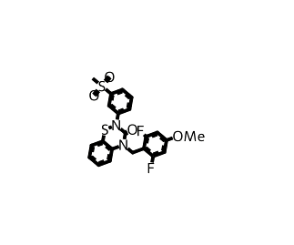 COc1cc(F)c(CN2C(=O)N(c3cccc(S(C)(=O)=O)c3)Sc3ccccc32)c(F)c1